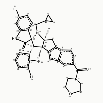 O=C(c1ccn2c3c(nc2c1)[C@@H]1[C@H](C3)N(CC2CC2)[C@@]2(C(=O)Nc3cc(Cl)ccc32)[C@H]1c1cccc(Cl)c1F)N1CCOCC1